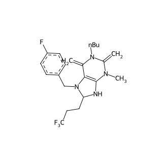 C=C1C2=C(NC(CCC(F)(F)F)N2Cc2ccc(F)cc2)N(C)C(=C)N1CCCC